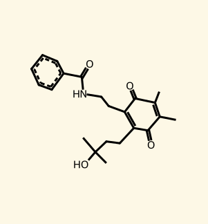 CC1=C(C)C(=O)C(CCC(C)(C)O)=C(CCNC(=O)c2ccccc2)C1=O